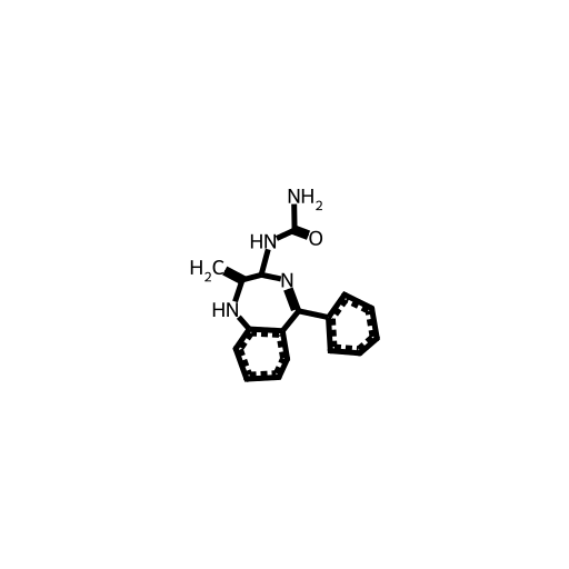 C=C1Nc2ccccc2C(c2ccccc2)=NC1NC(N)=O